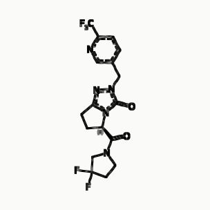 O=C([C@H]1CCc2nn(Cc3ccc(C(F)(F)F)nc3)c(=O)n21)N1CCC(F)(F)C1